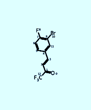 O=C(C=Cc1ccc(F)c(Br)c1)C(F)(F)F